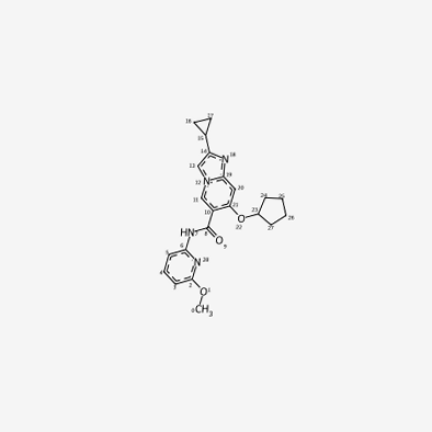 COc1cccc(NC(=O)c2cn3cc(C4CC4)nc3cc2OC2CCCC2)n1